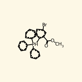 COC(=O)c1cc(Br)ccc1C[PH](c1ccccc1)(c1ccccc1)c1ccccc1